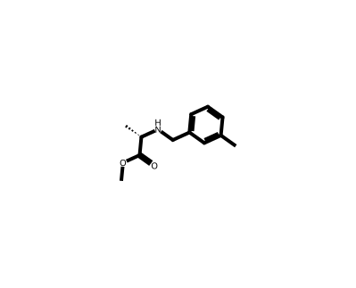 COC(=O)[C@H](C)NCc1cccc(C)c1